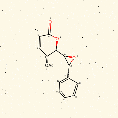 CC(=O)O[C@H]1C=CC(=O)O[C@H]1[C@H]1O[C@@H]1c1ccccc1